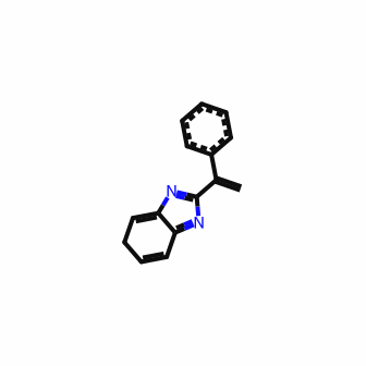 C=C(C1=NC2=CCC=CC2=N1)c1ccccc1